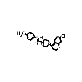 Cc1ccc(NC(=O)N2CCN(c3ccnc4cc(Cl)ccc34)CC2)cc1